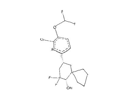 O[C@@H]1C(F)(F)C[C@H](c2ccc(OC(F)F)c(Cl)n2)CC12CCCC2